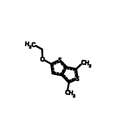 CCOc1cc2c(C)sc(C)c2s1